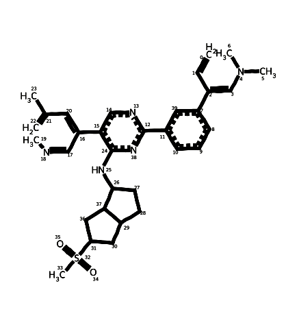 C=C/C(=C\N(C)C)c1cccc(-c2ncc(C(/C=N\C)=C/C(=C)C)c(NC3CCC4CC(S(C)(=O)=O)CC43)n2)c1